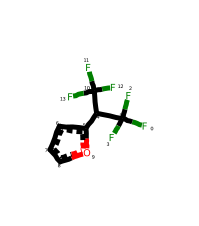 FC(F)(F)C(c1ccco1)C(F)(F)F